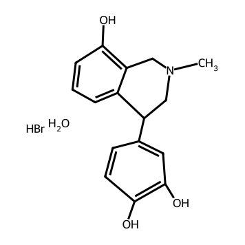 Br.CN1Cc2c(O)cccc2C(c2ccc(O)c(O)c2)C1.O